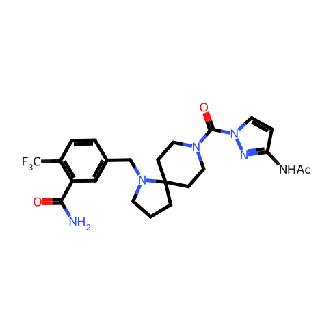 CC(=O)Nc1ccn(C(=O)N2CCC3(CCCN3Cc3ccc(C(F)(F)F)c(C(N)=O)c3)CC2)n1